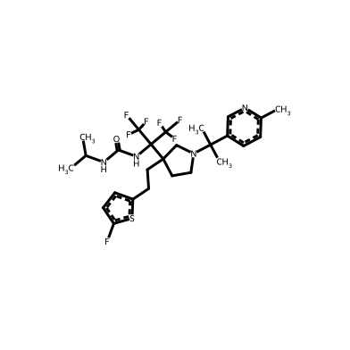 Cc1ccc(C(C)(C)N2CCC(CCc3ccc(F)s3)(C(NC(=O)NC(C)C)(C(F)(F)F)C(F)(F)F)C2)cn1